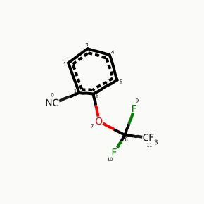 N#Cc1ccccc1OC(F)(F)C(F)(F)F